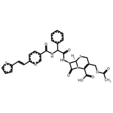 CC(=O)OCC1=C(C(=O)O)N2C(=O)[C@@H](NC(=O)C(NC(=O)c3ccc(C=Cc4cccs4)nc3)c3ccccc3)[C@H]2SC1